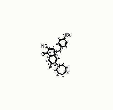 CC(C)(C)c1ccc(Cn2cc(C#N)c(=O)c3cc(F)c(N4CCCCCC4)cc32)cc1